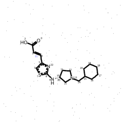 O=C(O)/C=C/c1csc(N[C@@H]2CCN(CC3CCCCC3)C2)n1